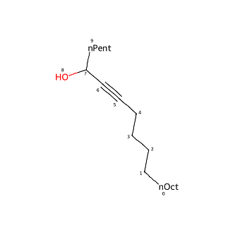 CCCCCCCCCCCCC#CC(O)CCCCC